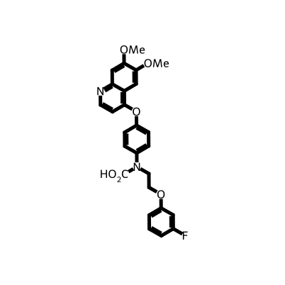 COc1cc2nccc(Oc3ccc(N(CCOc4cccc(F)c4)C(=O)O)cc3)c2cc1OC